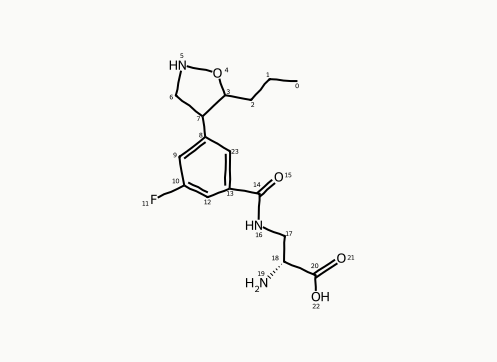 CCCC1ONCC1c1cc(F)cc(C(=O)NC[C@@H](N)C(=O)O)c1